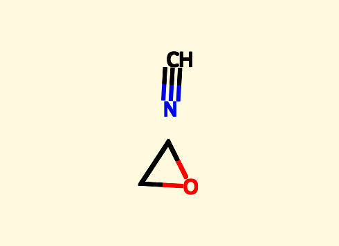 C#N.C1CO1